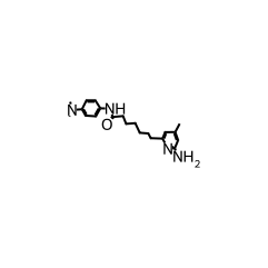 Cc1cc(N)nc(CCCCCCC(=O)Nc2ccc(N(C)C)cc2)c1